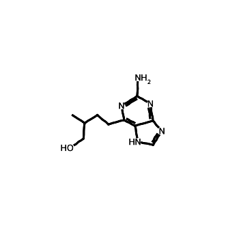 CC(CO)CCc1nc(N)nc2nc[nH]c12